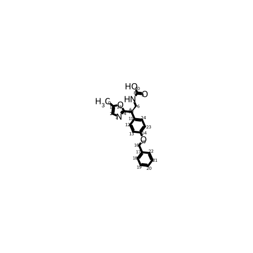 Cc1cnc([C@@H](CNC(=O)O)c2ccc(OCc3ccccc3)cc2)o1